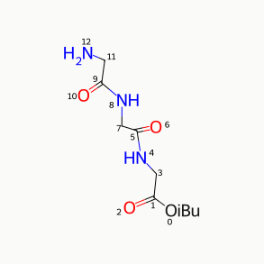 CC(C)COC(=O)CNC(=O)CNC(=O)CN